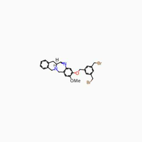 COc1cc2c(cc1OCc1cc(CBr)cc(CBr)c1)N=C[C@@H]1Cc3ccccc3CN1C2